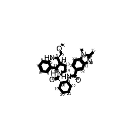 COC[C@@H]1Nc2ccccc2[C@H]2[C@H]1CCN2C(=O)[C@H]1CCCC[C@H]1NC(=O)c1ccc2c(c1)nc(C)n2C